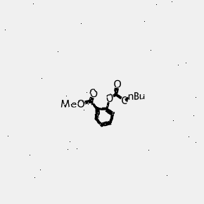 CCCCOC(=O)Oc1ccccc1C(=O)OC